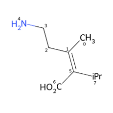 CC(CCN)=C(C(=O)O)C(C)C